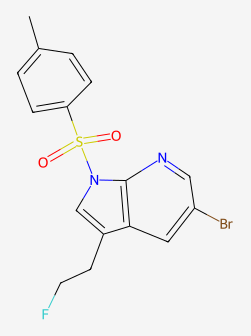 Cc1ccc(S(=O)(=O)n2cc(CCF)c3cc(Br)cnc32)cc1